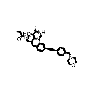 CCC(=O)NCC(Cc1ccc(C#Cc2ccc(CN3CCOCC3)cc2)cc1)c1nc[nH]c(=O)c1O